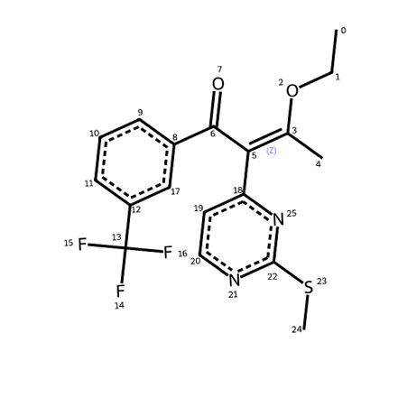 CCO/C(C)=C(\C(=O)c1cccc(C(F)(F)F)c1)c1ccnc(SC)n1